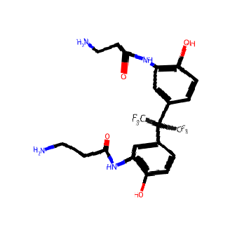 NCCC(=O)Nc1cc(C(c2ccc(O)c(NC(=O)CCN)c2)(C(F)(F)F)C(F)(F)F)ccc1O